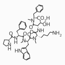 C[C@@H](O)[C@H](NC(=O)[C@H](CCCCN)N(C)C(=O)[C@@H](Cc1c[nH]c2ccccc12)N(C)C(=O)[C@H](Cc1ccccc1)NC(=O)[C@@H]1CCCN1)C(=O)N(C)[C@@H](Cc1ccccc1)C(=O)O